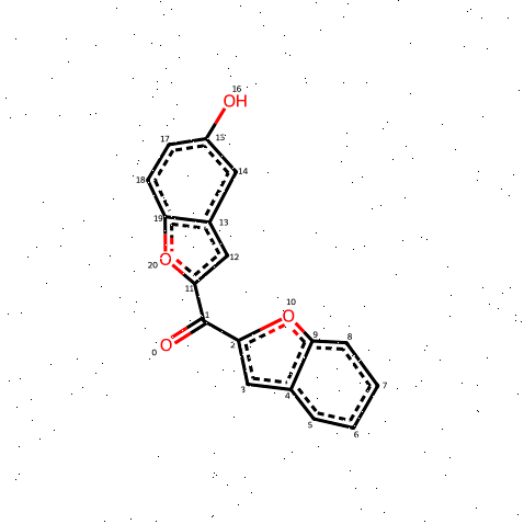 O=C(c1cc2ccccc2o1)c1cc2cc(O)ccc2o1